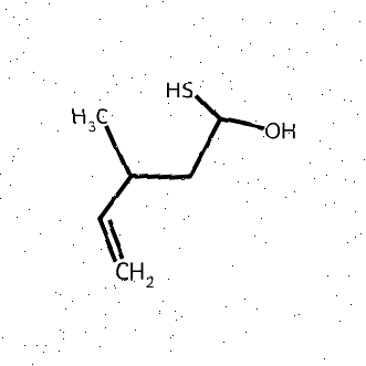 C=CC(C)CC(O)S